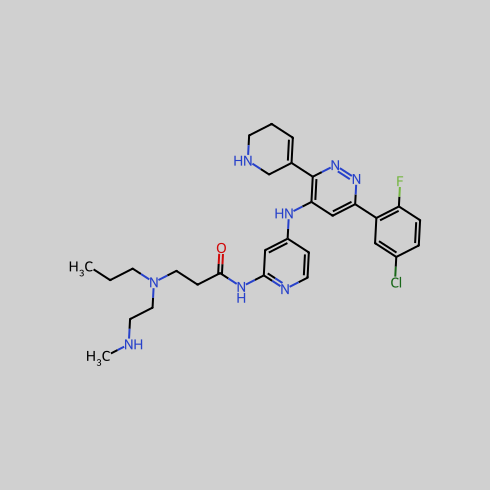 CCCN(CCNC)CCC(=O)Nc1cc(Nc2cc(-c3cc(Cl)ccc3F)nnc2C2=CCCNC2)ccn1